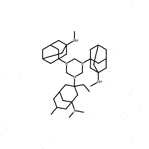 CCC1(N2CN(C34CC5CC(CC(NC)(C5)C3)C4)CN(C34CC5CC(CC(NC)(C5)C3)C4)C2)CC2CC(C)CC(N(C)C)(C2)C1